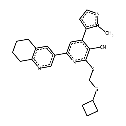 Cn1nccc1-c1cc(-c2cnc3c(c2)CCCC3)nc(SCSC2CCC2)c1C#N